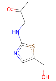 CC(=O)CNc1ncc(CO)s1